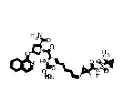 CC(C)(C)OC(=O)N[C@@H](CCCCC/C=C\[C@@H]1C[C@]1(I)C(=O)NS(=O)(=O)C1(C)CC1)C(=O)N1C[C@H](Oc2nccc3c2CCCC3)C[C@H]1C(N)=O